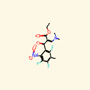 CCOC(=O)C(=CN(C)C)C(=O)c1c(F)c(C)c(F)c(F)c1[N+](=O)[O-]